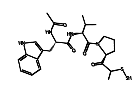 CC(=O)N[C@@H](Cc1c[nH]c2ccccc12)C(=O)N[C@H](C(=O)N1CCC[C@H]1C(=O)C(C)SS)C(C)C